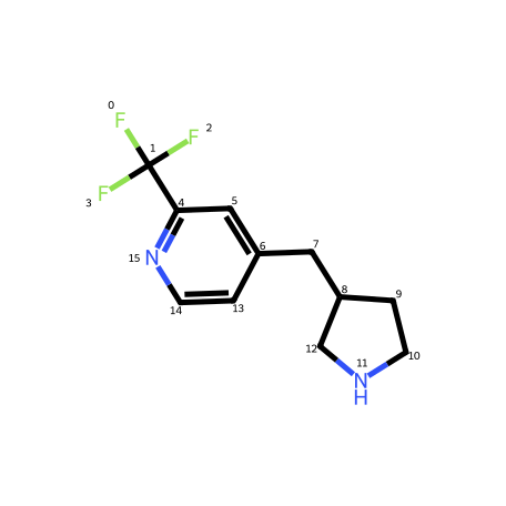 FC(F)(F)c1cc(CC2CCNC2)ccn1